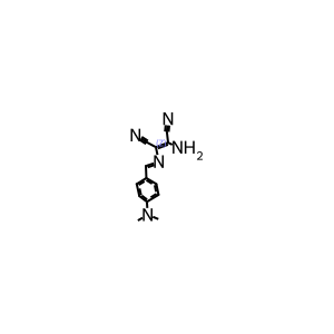 CN(C)c1ccc(C=N/C(C#N)=C(\N)C#N)cc1